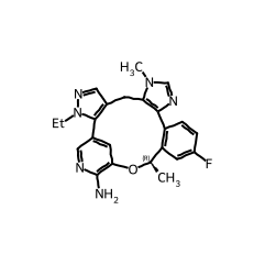 CCn1ncc2c1-c1cnc(N)c(c1)O[C@H](C)c1cc(F)ccc1-c1ncn(C)c1C2